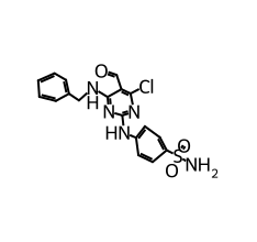 NS(=O)(=O)c1ccc(Nc2nc(Cl)c(C=O)c(NCc3ccccc3)n2)cc1